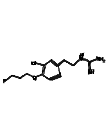 N=C(N)NCCc1ccc(OCCCF)c(Cl)c1